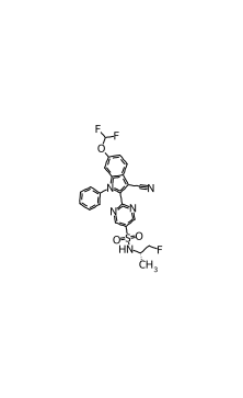 C[C@@H](CF)NS(=O)(=O)c1cnc(-c2c(C#N)c3ccc(OC(F)F)cc3n2-c2ccccc2)nc1